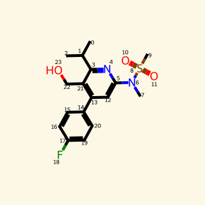 CC(C)c1nc(N(C)S(C)(=O)=O)cc(-c2ccc(F)cc2)c1CO